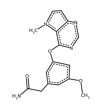 COc1cc(CC(N)=O)cc(Oc2ncnc3ccn(C)c23)c1